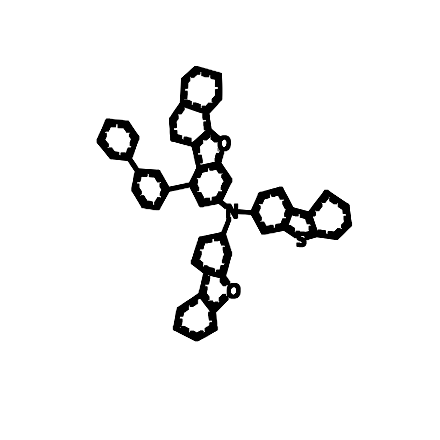 c1ccc(-c2cccc(-c3cc(N(c4ccc5c(c4)oc4ccccc45)c4ccc5c(c4)sc4ccccc45)cc4oc5c6ccccc6ccc5c34)c2)cc1